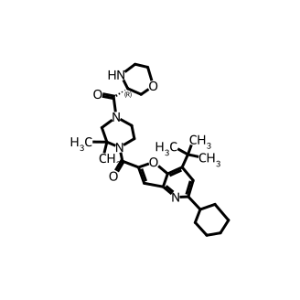 CC(C)(C)c1cc(C2CCCCC2)nc2cc(C(=O)N3CCN(C(=O)[C@H]4COCCN4)CC3(C)C)oc12